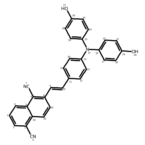 N#Cc1cccc2c(C#N)c(C=Cc3ccc(N(c4ccc(O)cc4)c4ccc(O)cc4)cc3)ccc12